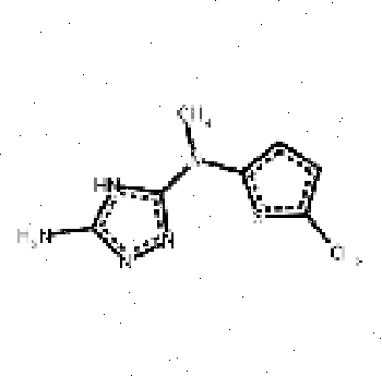 Cc1ccc(N(C)c2nnc(N)[nH]2)s1